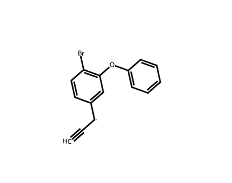 C#C[CH]c1ccc(Br)c(Oc2ccccc2)c1